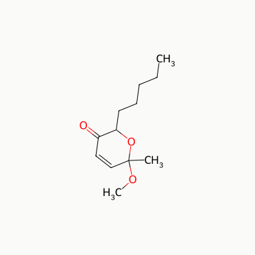 CCCCCC1OC(C)(OC)C=CC1=O